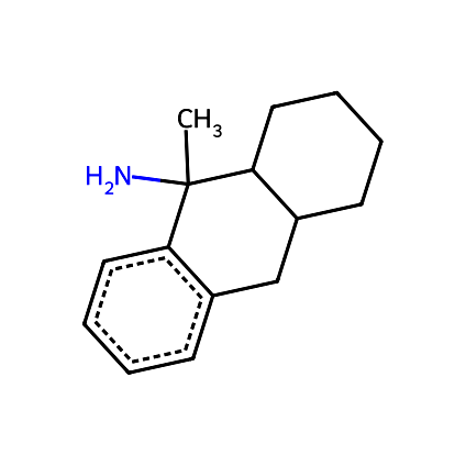 CC1(N)c2ccccc2CC2CCCCC21